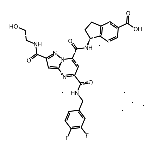 O=C(O)c1ccc2c(c1)CC[C@@H]2NC(=O)c1cc(C(=O)NCc2ccc(F)c(F)c2)nc2cc(C(=O)NCCO)nn12